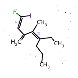 C=C(/C=C(/F)I)/C(C)=C(/CC)CCC